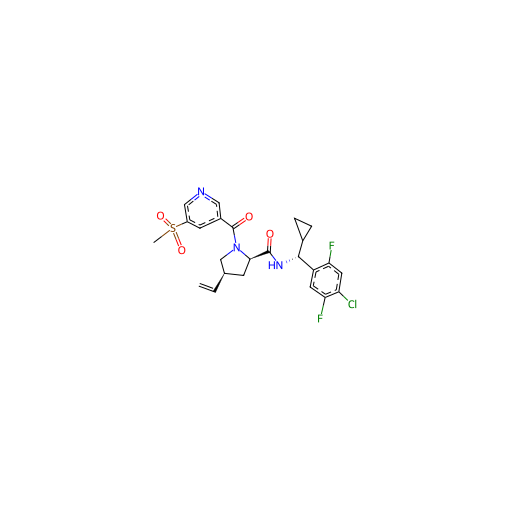 C=C[C@@H]1C[C@H](C(=O)N[C@@H](c2cc(F)c(Cl)cc2F)C2CC2)N(C(=O)c2cncc(S(C)(=O)=O)c2)C1